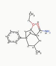 CCOC1CC2(c3ccccc3)CC(C)CC1(C(N)=O)C2